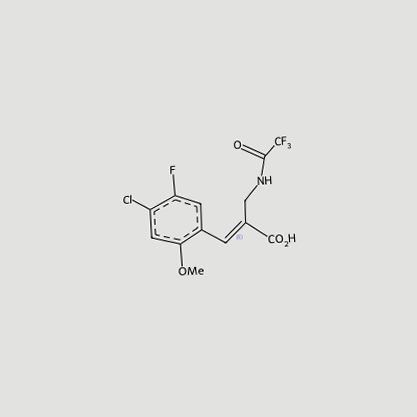 COc1cc(Cl)c(F)cc1/C=C(\CNC(=O)C(F)(F)F)C(=O)O